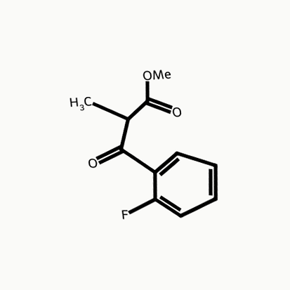 COC(=O)C(C)C(=O)c1ccccc1F